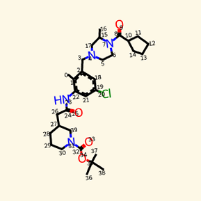 Cc1c(CN2CCN(C(=O)C3CCCC3)C(C)C2)cc(Cl)cc1NC(=O)CC1CCCN(C(=O)OC(C)(C)C)C1